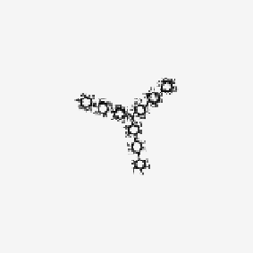 c1ccc(-c2ccc(-c3ccc(N(c4ccc(-c5ccc(-c6ccccc6)cc5)cc4)c4ccc(-c5ccc(-c6ccccc6)cc5)cc4)cc3)cc2)cc1